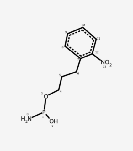 NP(O)OCCCc1ccccc1[N+](=O)[O-]